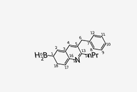 BC1C=c2cc(Cc3ccccc3)c(CCC)nc2=CC1